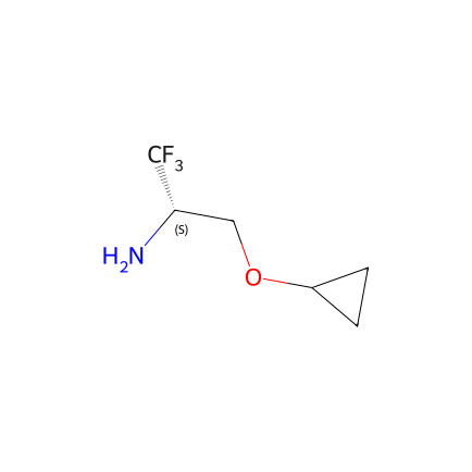 N[C@@H](COC1CC1)C(F)(F)F